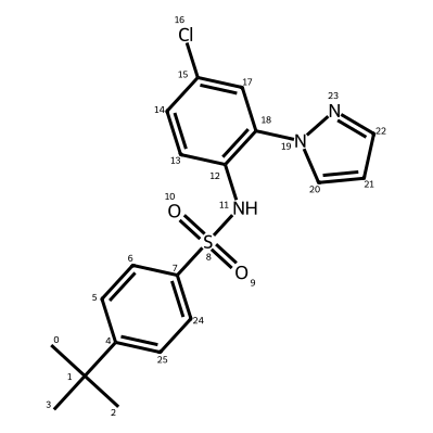 CC(C)(C)c1ccc(S(=O)(=O)Nc2ccc(Cl)cc2-n2cccn2)cc1